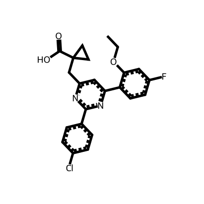 CCOc1cc(F)ccc1-c1cc(CC2(C(=O)O)CC2)nc(-c2ccc(Cl)cc2)n1